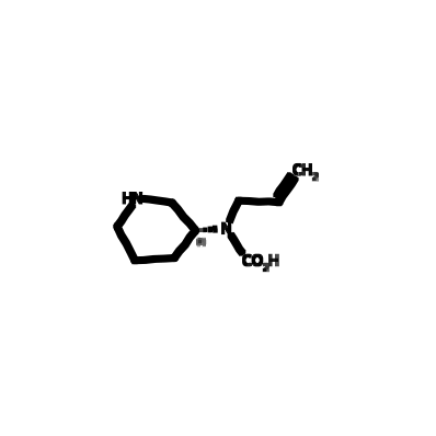 C=CCN(C(=O)O)[C@@H]1CCCNC1